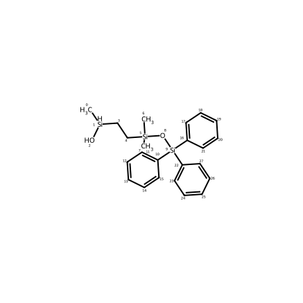 C[SiH](O)CC[Si](C)(C)O[Si](c1ccccc1)(c1ccccc1)c1ccccc1